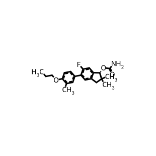 CCCOc1ccc(-c2cc3c(cc2F)[C@H](OC(N)=O)C(C)(C)C3)cc1C